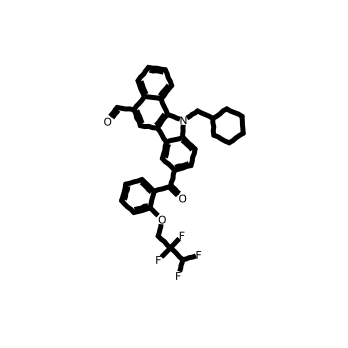 O=Cc1cc2c3cc(C(=O)c4ccccc4OCC(F)(F)C(F)F)ccc3n(CC3CCCCC3)c2c2ccccc12